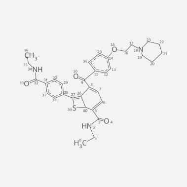 CCNC(=O)C1=CC=C(C(=O)c2ccc(OCCN3CCCCC3)cc2)C2=C(c3ccc(C(=O)NCC)cc3)SC12